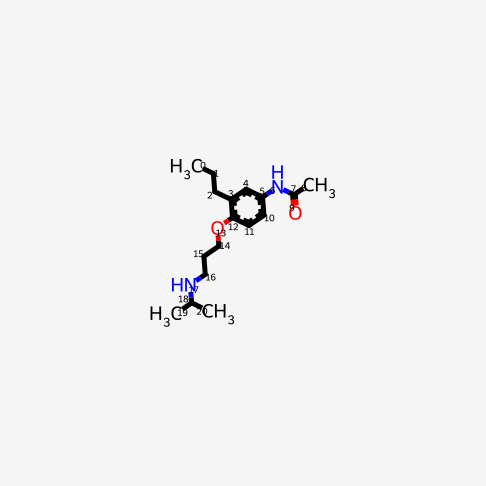 CCCc1cc(NC(C)=O)ccc1OCCCNC(C)C